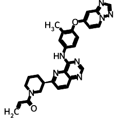 C=CC(=O)N1CCC[C@@H](c2ccc3ncnc(Nc4ccc(Oc5ccn6ncnc6c5)c(C)c4)c3n2)C1